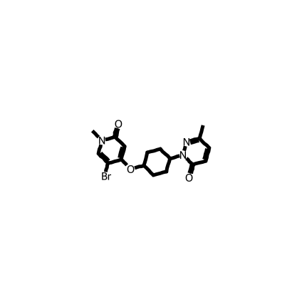 Cc1ccc(=O)n(C2CCC(Oc3cc(=O)n(C)cc3Br)CC2)n1